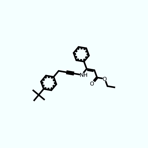 CCOC(=O)/C=C(\NC#CCc1ccc(C(C)(C)C)cc1)c1ccccc1